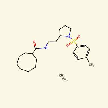 O=C(NCCC1CCCN1S(=O)(=O)c1ccc(C(F)(F)F)cc1)[C]1CCCCCCC1.[CH2].[CH2]